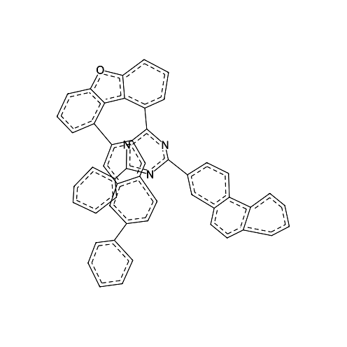 c1ccc(-c2ccc3ccc(-c4cccc5oc6cccc(-c7nc(-c8ccccc8)nc(-c8ccc9c(ccc%10ccccc%109)c8)n7)c6c45)cc3c2)cc1